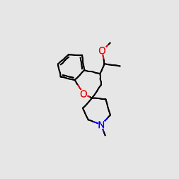 COC(C)C1CC2(CCN(C)CC2)Oc2ccccc21